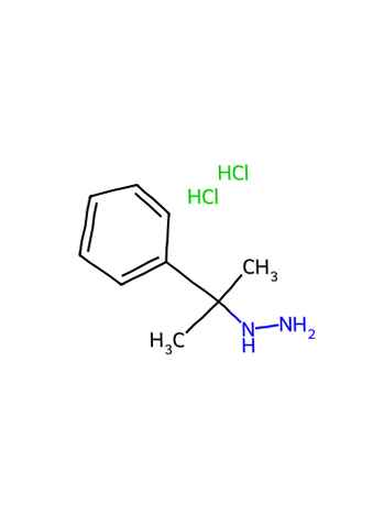 CC(C)(NN)c1ccccc1.Cl.Cl